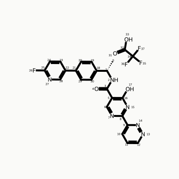 C[C@H](NC(=O)c1cnc(-c2cccnn2)nc1O)c1ccc(-c2ccc(F)nc2)cc1.O=C(O)C(F)(F)F